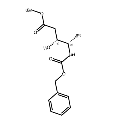 CC(C)[C@H](NC(=O)OCc1ccccc1)[C@H](O)CC(=O)OC(C)(C)C